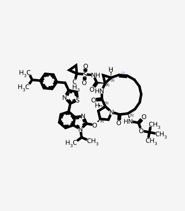 CC(C)c1ccc(Cc2csc(-c3cccc4c3nc(O[C@@H]3C[C@H]5C(=O)N[C@]6(C(=O)NS(=O)(=O)C7(C)CC7)C[C@H]6/C=C\CCCCC[C@H](NC(=O)OC(C)(C)C)C(=O)N5C3)n4C(C)C)n2)cc1